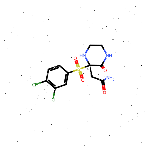 NC(=O)C[C@@]1(S(=O)(=O)c2ccc(Cl)c(Cl)c2)NCCNC1=O